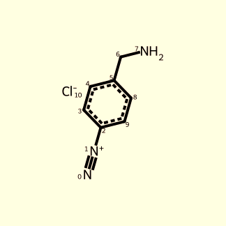 N#[N+]c1ccc(CN)cc1.[Cl-]